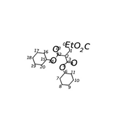 CCOC(=O)CC(C(=O)OC1CCCCC1)C(=O)OC1CCCCC1